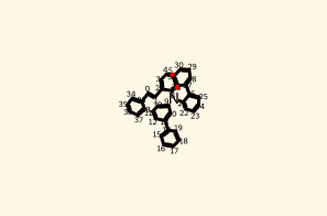 C(=C\c1ccccc1N(c1cccc(-c2ccccc2)c1)c1ccccc1-c1ccccc1)/c1ccccc1